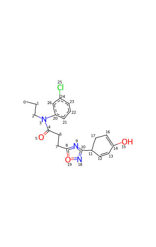 CCCN(C(=O)CCc1nc(C2C=CC(O)=CC2)no1)c1cccc(Cl)c1